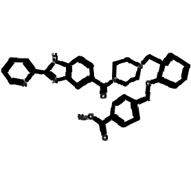 COC(=O)c1ccc(COc2ccccc2CN2CCN(C(=O)c3ccc4[nH]c(-c5ccccn5)nc4c3)CC2)cc1